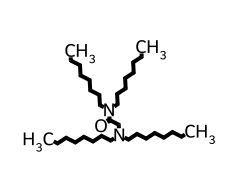 CCCCCCCCN(CCCCCCCC)CC(=O)N(CCCCCCCC)CCCCCCCC